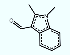 Cc1c(C=O)c2ccccc2n1C